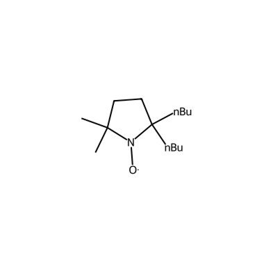 CCCCC1(CCCC)CCC(C)(C)N1[O]